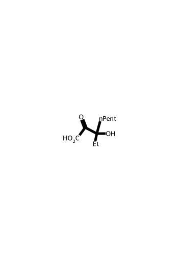 CCCCCC(O)(CC)C(=O)C(=O)O